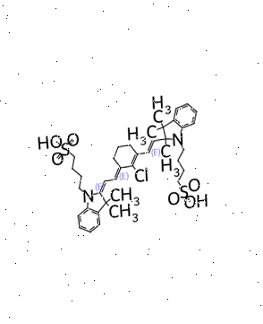 CC1(C)/C(=C\C=C2/CCCC(/C=C/C3(C)N(CCCCS(=O)(=O)O)c4ccccc4C3(C)C)=C2Cl)N(CCCCS(=O)(=O)O)c2ccccc21